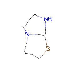 C1CN2CCSC2N1